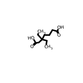 CCC(CC)(CCCC(=O)O)CC(=O)O